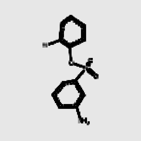 CCc1ccccc1OS(=O)(=O)c1cccc(N)c1